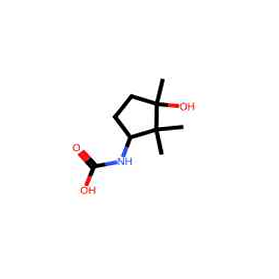 CC1(O)CCC(NC(=O)O)C1(C)C